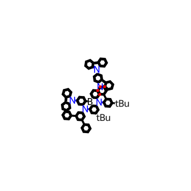 CC(C)(C)c1ccc(N2c3cc(-n4c5ccccc5c5cc(-n6c7ccccc7c7ccccc76)ccc54)ccc3B3c4ccc(-n5c6ccccc6c6ccccc65)cc4N(c4cc(-c5ccccc5)cc(-c5ccccc5)c4)c4cc(C(C)(C)C)cc2c43)c(-c2ccccc2)c1